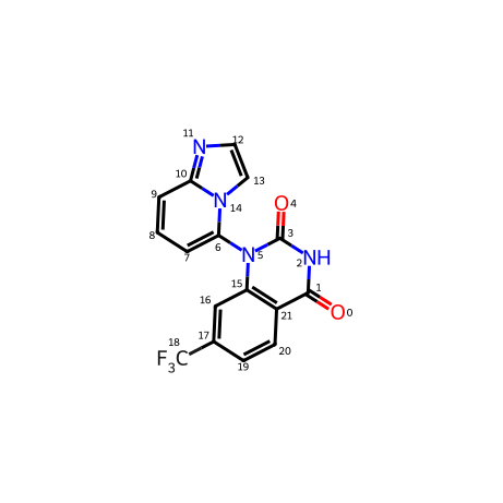 O=c1[nH]c(=O)n(-c2cccc3nccn23)c2cc(C(F)(F)F)ccc12